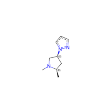 C[C@@H]1C[C@H](n2cccn2)CN1C